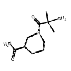 CC(C)(N)C(=O)N1CCCC(C(N)=O)C1